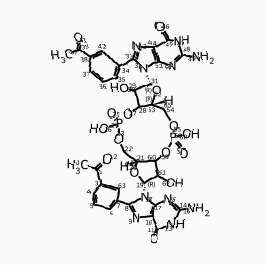 CC(=O)c1cccc(-c2nc3c(=O)[nH]c(N)nc3n2[C@@H]2O[C@@H]3COP(=O)(O)OC4C(O)[C@H](n5c(-c6cccc(C(C)=O)c6)nc6c(=O)[nH]c(N)nc65)O[C@@H]4COP(=O)(O)OC3C2O)c1